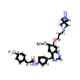 COc1cc2c(-c3ccc(NC(=O)Cc4ccc(C(F)(F)F)cc4)cc3)ncnc2cc1OCCCN1CC2(CNC2)C1